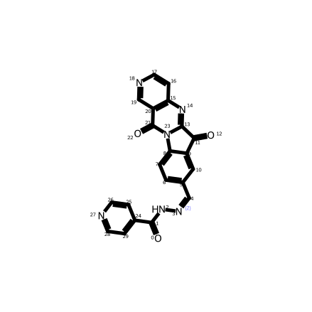 O=C(N/N=C\c1ccc2c(c1)C(=O)c1nc3ccncc3c(=O)n1-2)c1ccncc1